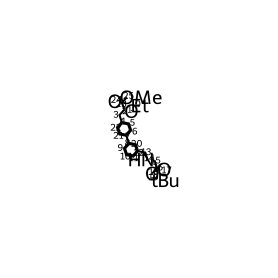 CCOC(Cc1ccc(-c2cccc(CNCC(=O)OC(C)(C)C)c2)cc1)C(=O)OC